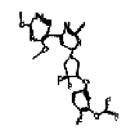 COc1ncc(-c2cc(N3CC(Oc4ccc(F)c(OC(F)F)c4)C(F)(F)C3)nc(C)n2)c(OC)n1